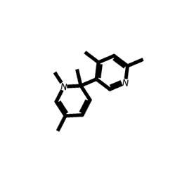 CC1=CN(C)C(C)(c2cnc(C)cc2C)C=C1